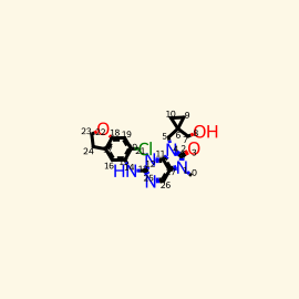 Cn1c(=O)n(CC2(CO)CC2)c2nc(Nc3cc4c(cc3Cl)OCC4)ncc21